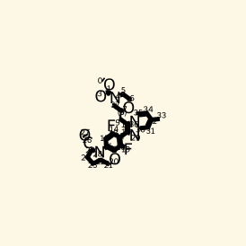 COC(=O)N1CCO[C@@H](Cc2c(-c3c(F)cc4c(c3F)OCC3CCC(=C=O)N43)nc3cc(C)ccn23)C1